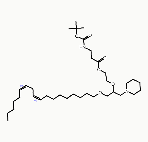 CCCCC/C=C\C/C=C\CCCCCCCCOCC(CN1CCCCC1)OCCOC(=O)CCNC(=O)OC(C)(C)C